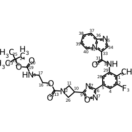 Cc1c(F)cc(-c2noc(C3CN(C(=O)OCCNC(=O)OC(C)(C)C)C3)n2)cc1NC(=O)c1cnc2ccccn12